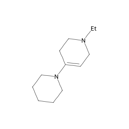 CCN1CC=C(N2CCCCC2)CC1